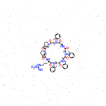 C[C@@H]1NC(=O)[C@H](Cc2ccccc2)NC(=O)[C@H](Cc2ccccc2)NC(=O)[C@H](Cc2ccccc2)NC(=O)[C@H](CCCNC(=N)N)NC(=O)[C@@H]2CCCN2C(=O)[C@H]2CCCN2C(=O)[C@H](Cc2ccccc2)NC1=O